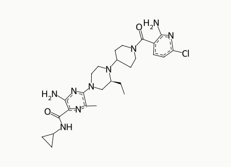 CC[C@H]1CN(c2nc(N)c(C(=O)NC3CC3)nc2C)CCN1C1CCN(C(=O)c2ccc(Cl)nc2N)CC1